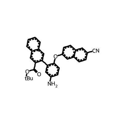 CC(C)(C)OC(=O)c1cc2ccccc2cc1-c1cc(N)ccc1Oc1ccc2cc(C#N)ccc2c1